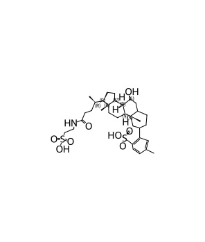 Cc1ccc(S(=O)(=O)O)c(C2CCC3C[C@H](O)[C@H]4[C@@H]5CC[C@H]([C@H](C)CCC(=O)NCCS(=O)(=O)O)[C@@]5(C)CC[C@@H]4[C@@]3(C)C2)c1